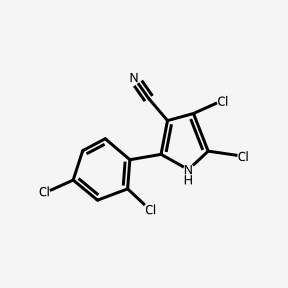 N#Cc1c(-c2ccc(Cl)cc2Cl)[nH]c(Cl)c1Cl